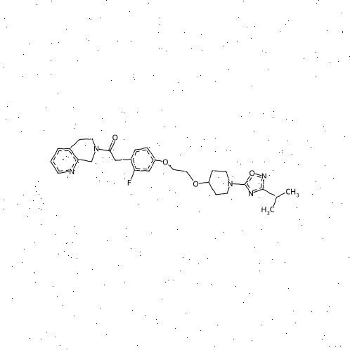 CC(C)c1noc(N2CCC(OCCOc3ccc(CC(=O)N4CCc5cccnc5C4)c(F)c3)CC2)n1